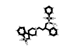 CN(CC(CCN1CCC2(CC1)CS(=O)(=O)c1ccccc12)c1ccccc1)S(=O)(=O)c1ccccc1